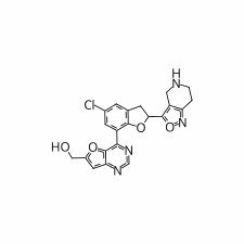 OCc1cc2ncnc(-c3cc(Cl)cc4c3OC(c3onc5c3CNCC5)C4)c2o1